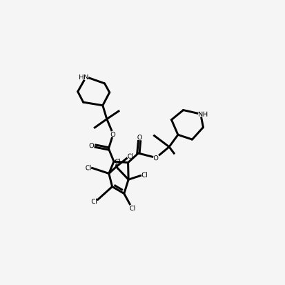 CC(C)(OC(=O)C1C(C(=O)OC(C)(C)C2CCNCC2)C2(Cl)C(Cl)=C(Cl)C1(Cl)C2(Cl)Cl)C1CCNCC1